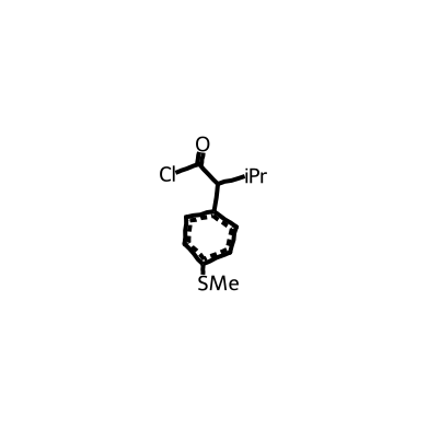 CSc1ccc(C(C(=O)Cl)C(C)C)cc1